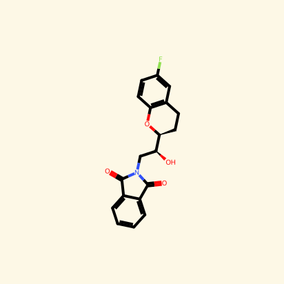 O=C1c2ccccc2C(=O)N1C[C@H](O)[C@@H]1CCc2cc(F)ccc2O1